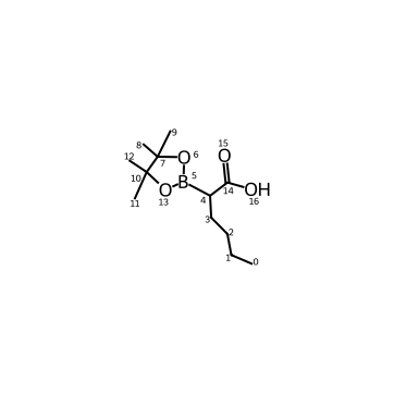 CCCCC(B1OC(C)(C)C(C)(C)O1)C(=O)O